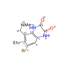 CCc1c(Br)cc2[nH]c(=O)c(=O)[nH]c2c1C[N]C